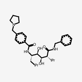 CC(C)C[C@H](NC(=O)c1ccc(CN2CCCC2)cc1)[C@@H](O)[C@H](O)[C@H](C(=O)NCc1ccccc1)C(C)C